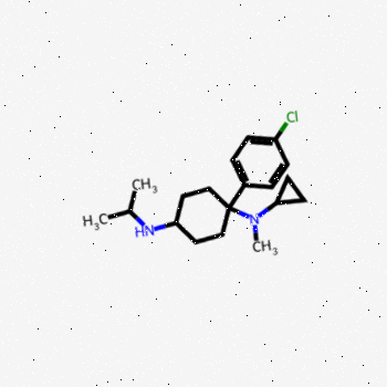 CC(C)NC1CCC(c2ccc(Cl)cc2)(N(C)C2CC2)CC1